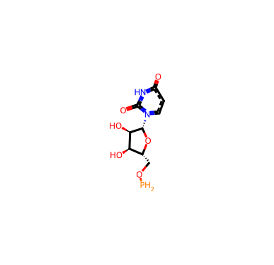 O=c1ccn([C@@H]2O[C@H](COP)[C@@H](O)[C@H]2O)c(=O)[nH]1